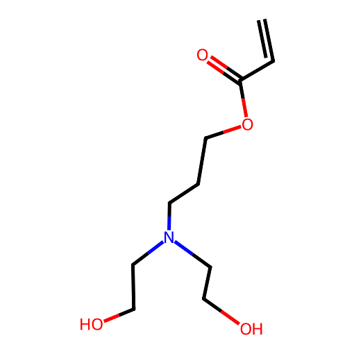 C=CC(=O)OCCCN(CCO)CCO